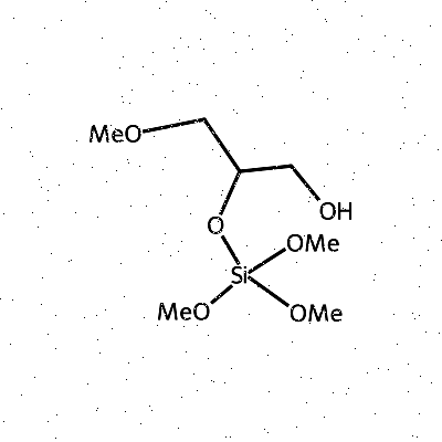 COCC(CO)O[Si](OC)(OC)OC